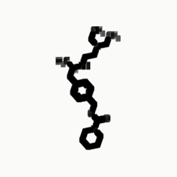 CCN(CC)CCN[C@H](C)Cc1ccc(COC(=O)N2CCCCC2)cc1